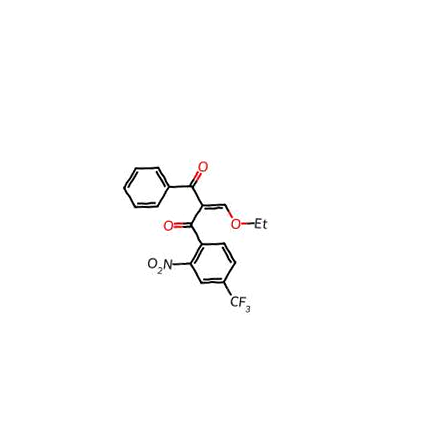 CCOC=C(C(=O)c1ccccc1)C(=O)c1ccc(C(F)(F)F)cc1[N+](=O)[O-]